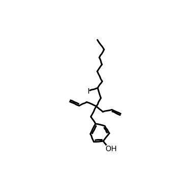 C=CCC(CC=C)(Cc1ccc(O)cc1)CC(I)CCCCCC